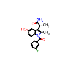 Cc1c([C@@H](C)C(N)=O)c2cc(O)ccc2n1C(=O)c1cccc(F)c1